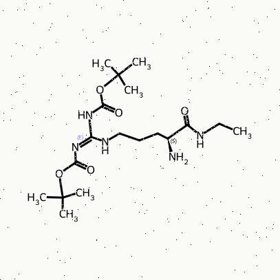 CCNC(=O)[C@@H](N)CCCN/C(=N\C(=O)OC(C)(C)C)NC(=O)OC(C)(C)C